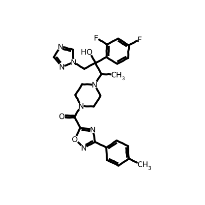 Cc1ccc(-c2noc(C(=O)N3CCN(C(C)C(O)(Cn4cncn4)c4ccc(F)cc4F)CC3)n2)cc1